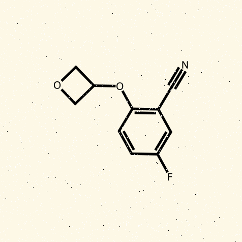 N#Cc1cc(F)ccc1OC1COC1